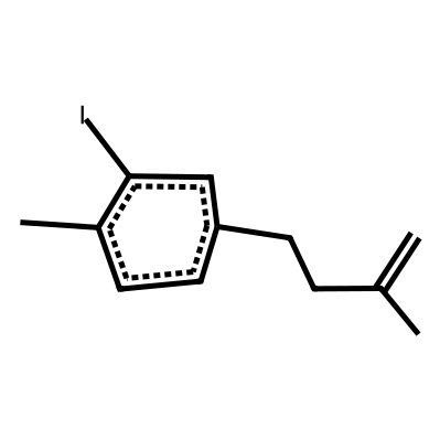 C=C(C)CCc1ccc(C)c(I)c1